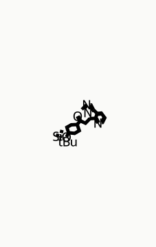 CC(C)(C)[Si](C)(C)OC1CCC(C(=O)CC2c3ncccc3-c3cncn32)CC1